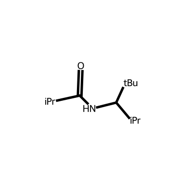 CC(C)C(=O)NC(C(C)C)C(C)(C)C